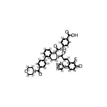 O=C(O)c1ccc(NC(=O)C2c3cccc(-c4ccc(C(=O)N5CCOCC5)cc4)c3CCN2C(=O)/C=C/c2c(-n3cnnn3)ccc(Cl)c2F)cc1